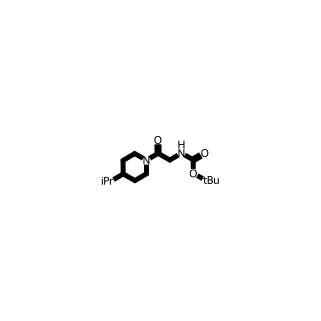 CC(C)C1CCN(C(=O)CNC(=O)OC(C)(C)C)CC1